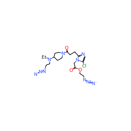 CCN(CCN=[N+]=[N-])C1CCN(C(=O)CCc2ncc(Cl)n2CC(=O)OCCN=[N+]=[N-])CC1